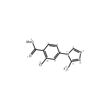 COC(=O)c1ccc(-n2cnnc2C(F)(F)F)cc1Cl